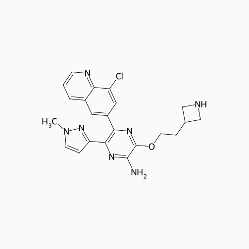 Cn1ccc(-c2nc(N)c(OCCC3CNC3)nc2-c2cc(Cl)c3ncccc3c2)n1